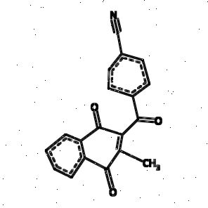 CC1=C(C(=O)c2ccc(C#N)cc2)C(=O)c2ccccc2C1=O